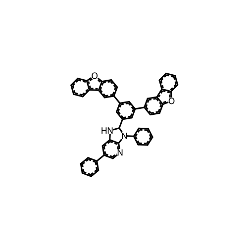 c1ccc(-c2cnc3c(c2)NC(c2cc(-c4ccc5oc6ccccc6c5c4)cc(-c4ccc5oc6ccccc6c5c4)c2)N3c2ccccc2)cc1